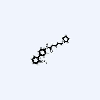 O=C(CCCCN1CCCC1)Nc1ccc(-c2ccccc2C(F)(F)F)cc1